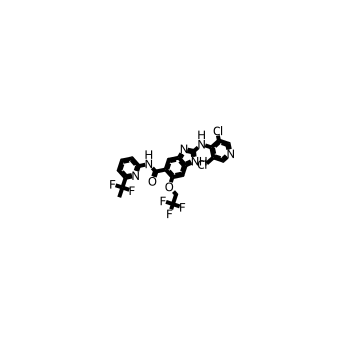 CC(F)(F)c1cccc(NC(=O)c2cc3nc(Nc4c(Cl)cncc4Cl)[nH]c3cc2OCC(F)(F)F)n1